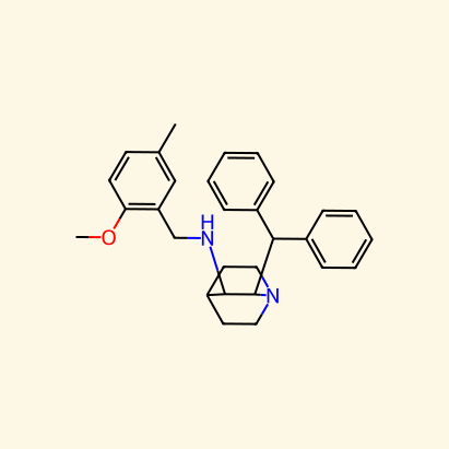 COc1ccc(C)cc1CNC1C2CCN(CC2)C1C(c1ccccc1)c1ccccc1